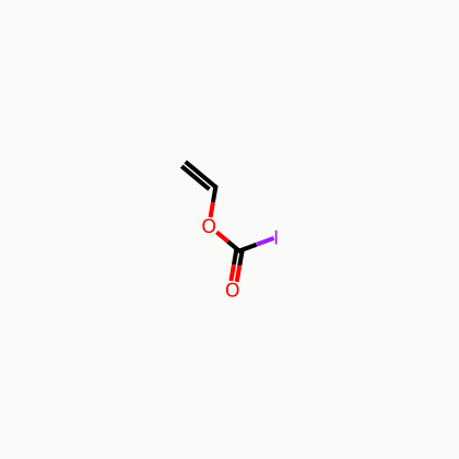 C=COC(=O)I